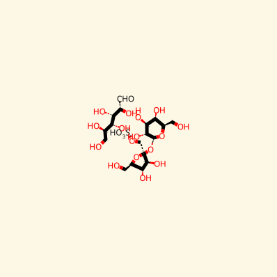 O=C[C@H](O)[C@@H](O)[C@H](O)[C@H](O)CO.O=S(=O)(O)OC[C@@]1(O[C@H]2O[C@H](CO)[C@@H](O)[C@H](O)[C@H]2O)O[C@H](CO)[C@@H](O)[C@@H]1O